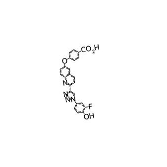 O=C(O)c1ccc(Oc2ccc3nc(-c4cn(-c5ccc(O)c(F)c5)nn4)ccc3c2)cc1